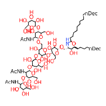 CCCCCCCCCCCCC/C=C/[C@@H](O)[C@H](CO[C@@H]1OC(CO)[C@@H](O[C@@H]2OC(CO[C@@H]3OC(CO)[C@@H](O[C@@H]4OC(CO)[C@H](O)[C@H](O)C4O)[C@H](O)C3NC(C)=O)[C@H](O)[C@H](O[C@H]3OC(CO)[C@H](O)[C@H](O[C@@H]4OC(CO)[C@H](O)[C@H](O[C@H]5OC(CO)[C@H](O)[C@H](O)C5NC(C)=O)C4NC(C)=O)C3O)C2O)[C@H](O)C1O)NC(=O)CCCCCCCCCCCCCCCCCCC